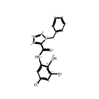 CCc1cc(NC(=O)c2nnnn2Cc2ccccc2)c(O)c(C(C)=O)c1